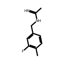 CC(=N)NCc1ccc(C)c(F)c1